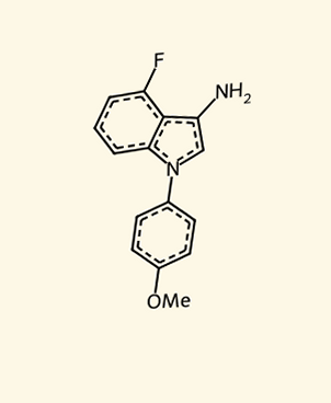 COc1ccc(-n2cc(N)c3c(F)cccc32)cc1